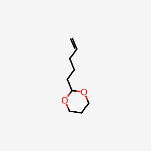 C=CCCCC1OCCCO1